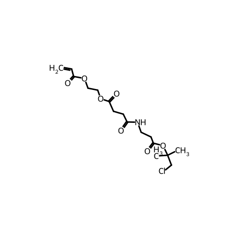 C=CC(=O)OCCOC(=O)CCC(=O)NCCC(=O)OC(C)(C)CCl